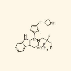 C[C@@H]1Cc2c([nH]c3ccccc23)[C@@H](c2ccc(CC3CNC3)s2)N1CC(F)(F)CF